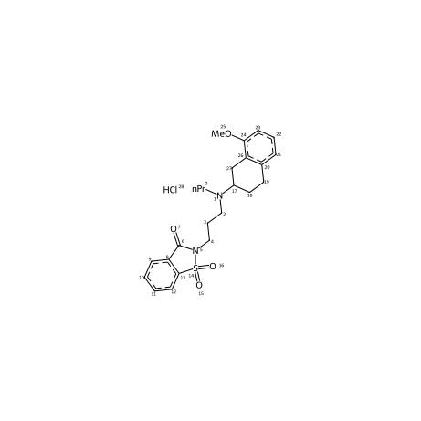 CCCN(CCCN1C(=O)c2ccccc2S1(=O)=O)C1CCc2cccc(OC)c2C1.Cl